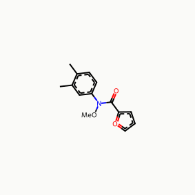 CON(C(=O)c1ccco1)c1ccc(C)c(C)c1